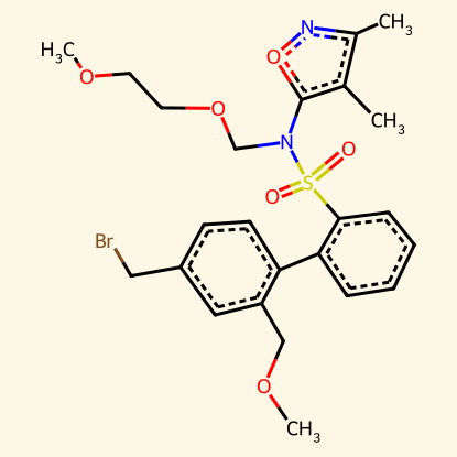 COCCOCN(c1onc(C)c1C)S(=O)(=O)c1ccccc1-c1ccc(CBr)cc1COC